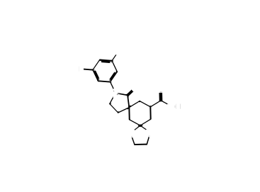 O=C(O)C1CC2(CC3(CCN(c4cc(F)cc(F)c4)C3=O)C1)OCCO2